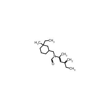 C=C(/C=C(\C)N(C=O)CC1CCCC(C)(CC)C1)CC